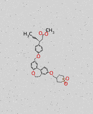 CC#C[C@@H](CC(=O)OC)c1ccc(OCc2ccc3c(c2)-c2ccc(OCC4CCS(=O)(=O)CC4)cc2CCO3)cc1